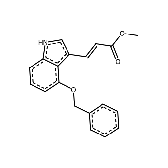 COC(=O)/C=C/c1c[nH]c2cccc(OCc3ccccc3)c12